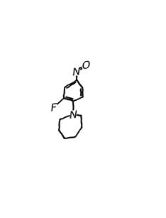 O=Nc1ccc(N2CCCCCC2)c(F)c1